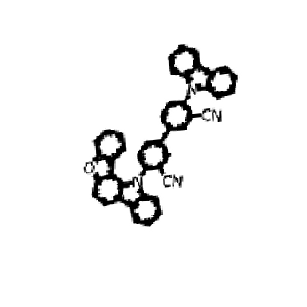 N#Cc1cc(-c2ccc(-n3c4ccccc4c4ccc5oc6ccccc6c5c43)c(C#N)c2)ccc1-n1c2ccccc2c2ccccc21